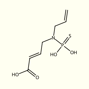 C=CCN(CC=CC(=O)O)P(O)(O)=S